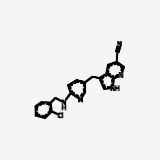 N#Cc1cnc2[nH]cc(Cc3ccc(NCc4ccccc4Cl)nc3)c2c1